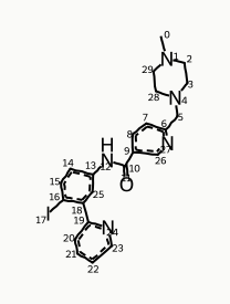 CN1CCN(Cc2ccc(C(=O)Nc3ccc(I)c(-c4ccccn4)c3)cn2)CC1